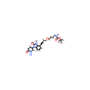 CN(CCCCOCCC#Cc1cccc2c1n(C)c(=O)n2C1CCC(=O)NC1)C(=O)OC(C)(C)C